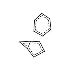 [c]1ccc2cc1-2.[c]1ccccc1